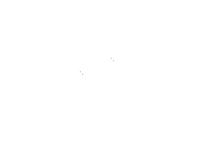 C=CC(=O)Oc1cccc(C(CCN(C)C)c2ccc(Br)cc2)n1